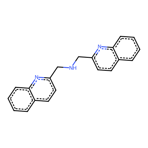 c1ccc2nc(CNCc3ccc4ccccc4n3)ccc2c1